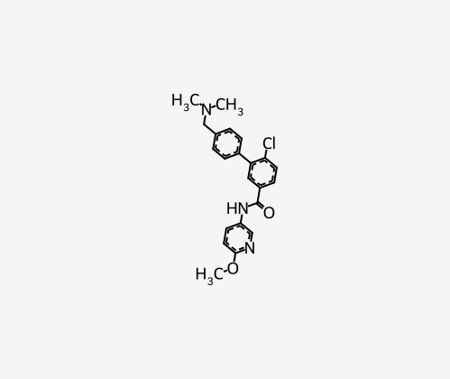 COc1ccc(NC(=O)c2ccc(Cl)c(-c3ccc(CN(C)C)cc3)c2)cn1